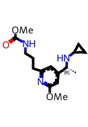 COC(=O)NCCCc1cc([C@@H](C)NC2CC2)cc(OC)n1